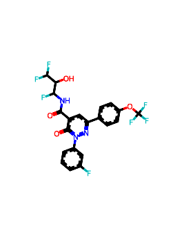 O=C(NC(F)C(O)C(F)F)c1cc(-c2ccc(OC(F)(F)F)cc2)nn(-c2cccc(F)c2)c1=O